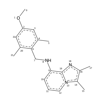 COc1cc(C)c(CNc2cccn3c(C)c(C)nc23)c(C)c1